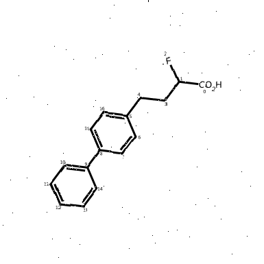 O=C(O)C(F)CCc1ccc(-c2ccccc2)cc1